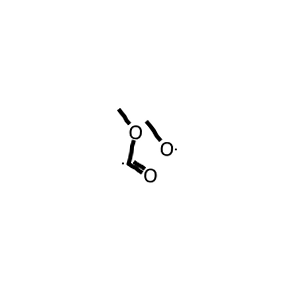 CO[C]=O.C[O]